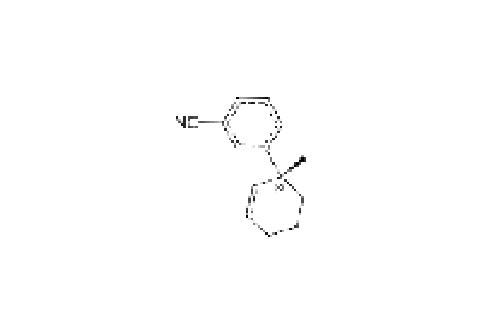 C[C@]1(c2cccc(C#N)c2)C=CCCC1